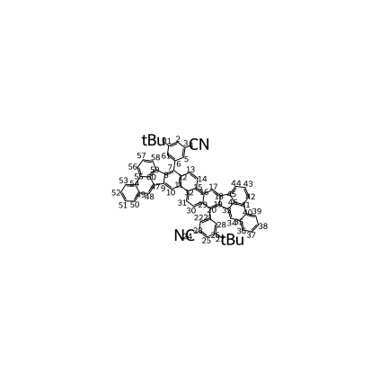 CC(C)(C)c1cc(C#N)cc(-c2c3c(cc4c2ccc2c5cc6c(c(-c7cc(C#N)cc(C(C)(C)C)c7)c5ccc42)-c2cc4ccccc4c4cccc-6c24)-c2cc4ccccc4c4cccc-3c24)c1